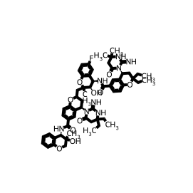 CCC1(CC)CC(=O)N([C@@H]2CC(CC3(C)Oc4ccc(F)cc4[C@@H](NC(=O)c4ccc5c(c4)[C@H](N4C(=N)NC(C)(C)CC4=O)CC(CC)(CC)O5)[C@@H]3O)Oc3ccc(C(=O)N[C@H]4c5ccccc5OCC4(C)O)cc32)C(=N)N1